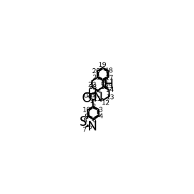 O=C(c1ccc2ncsc2c1)N1CCC[C@H]2c3ccccc3CC[C@H]21